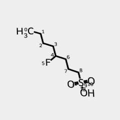 CCCCC(F)CCCS(=O)(=O)O